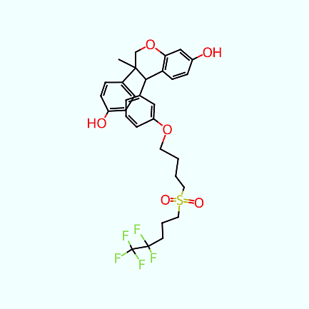 CC1(c2ccc(O)cc2)COc2cc(O)ccc2C1c1cccc(OCCCCS(=O)(=O)CCCC(F)(F)C(F)(F)F)c1